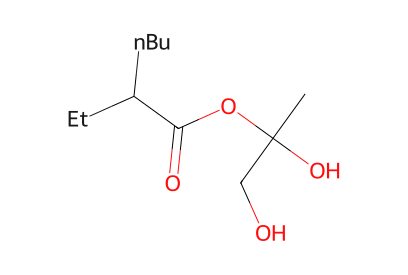 CCCCC(CC)C(=O)OC(C)(O)CO